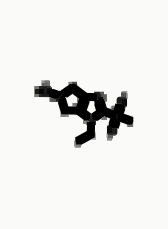 CCn1c(S(C)(=O)=O)nc2c1CN(O)C2